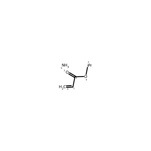 C=CC(=O)OC(C)C.N